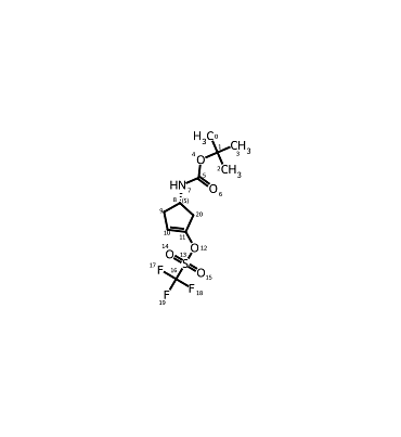 CC(C)(C)OC(=O)N[C@H]1CC=C(OS(=O)(=O)C(F)(F)F)C1